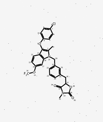 Cc1c(Oc2ccc(Cl)cc2)c2ccc(OC(F)(F)F)cc2n1Cc1cccc(CC2OC(=O)N(C)C2=O)c1